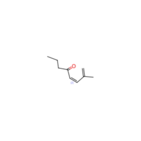 C=C(C)/C=C\C(=O)CCC